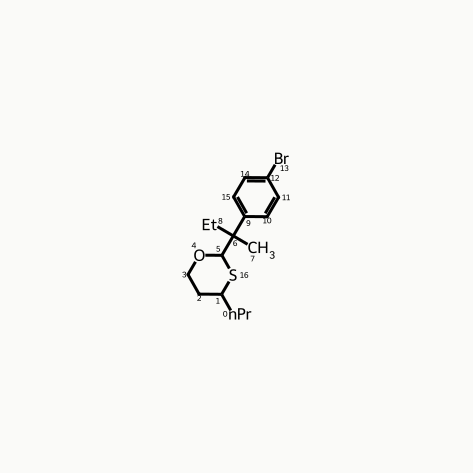 CCCC1CCOC(C(C)(CC)c2ccc(Br)cc2)S1